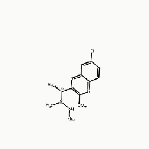 COc1nc2ccc(Cl)cc2nc1[C@H](C)N(C)NC(C)(C)C